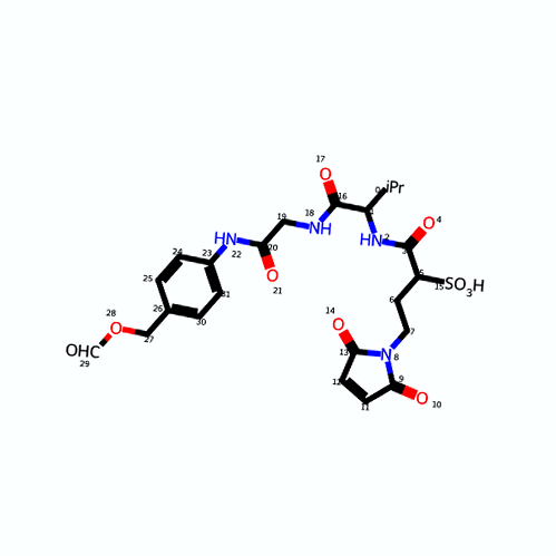 CC(C)C(NC(=O)C(CCN1C(=O)C=CC1=O)S(=O)(=O)O)C(=O)NCC(=O)Nc1ccc(COC=O)cc1